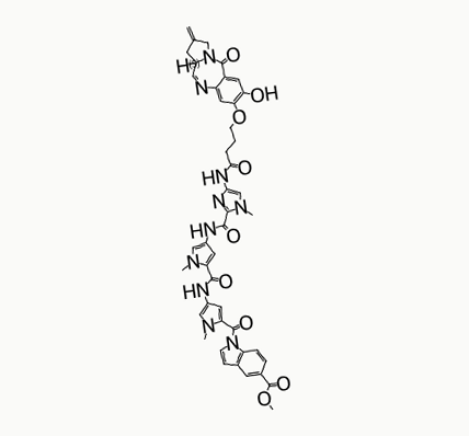 C=C1C[C@H]2C=Nc3cc(OCCCC(=O)Nc4cn(C)c(C(=O)Nc5cc(C(=O)Nc6cc(C(=O)n7ccc8cc(C(=O)OC)ccc87)n(C)c6)n(C)c5)n4)c(O)cc3C(=O)N2C1